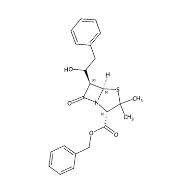 CC1(C)S[C@@H]2[C@H](C(O)Cc3ccccc3)C(=O)N2[C@H]1C(=O)OCc1ccccc1